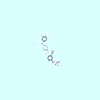 CC(c1ccc(Cl)c(Cl)c1)N1CCC(COc2cc(F)c(C(=O)NS(C)(=O)=O)cc2C2CC2)CC1